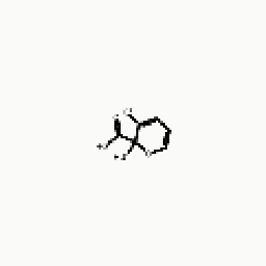 CC1=CC=COC1(C)C(=O)O